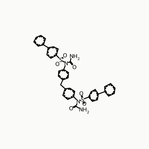 NC(=O)N(c1ccc(Cc2ccc(N(C(N)=O)S(=O)(=O)c3ccc(-c4ccccc4)cc3)cc2)cc1)S(=O)(=O)c1ccc(-c2ccccc2)cc1